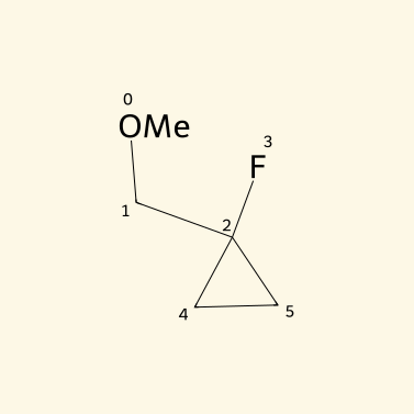 COCC1(F)CC1